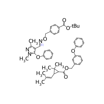 CC(C)=CC1C(C(=O)OCc2cccc(Oc3ccccc3)c2)C1(C)C.Cc1nn(C)c(Oc2ccccc2)c1/C=N/OCc1ccc(C(=O)OC(C)(C)C)cc1